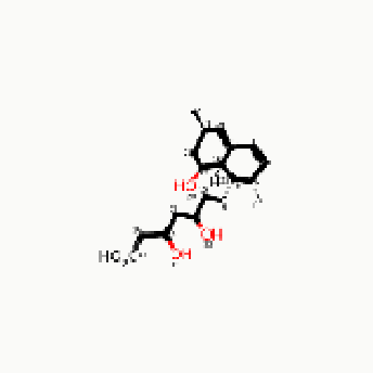 C[C@H]1C=C2C=C[C@H](C)[C@H](CCC(O)CC(O)CC(=O)O)[C@H]2[C@@H](O)C1